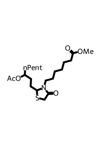 CCCCCC(CCC1SCC(=O)N1CCCCCCC(=O)OC)OC(C)=O